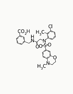 Cc1c(Cl)cccc1N(CC(=O)NCc1cccc(C(=O)O)c1)S(=O)(=O)c1ccc2c(c1)OCCN2C